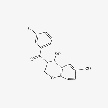 O=C(c1cccc(F)c1)C1COc2ccc(O)cc2C1O